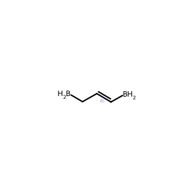 B/C=C/CB